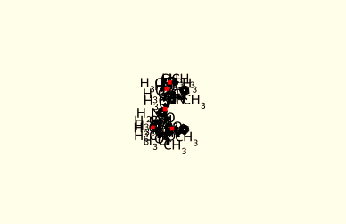 CC[C@H](C)[C@H](NC(=O)[C@H](C)N(C)C(=O)OC(C)(C)C)C(=O)N1C[C@@H](CC(=O)c2cc(N)cc(C(=O)N[C@H]3C[C@@H](C(=O)N[C@H](C)c4ccccc4)N(C(=O)[C@@H](NC(=O)[C@H](C)N(C)C(=O)OC(C)(C)C)[C@@H](C)CC)C3)c2)C[C@H]1C(=O)N[C@H](C)c1ccccc1